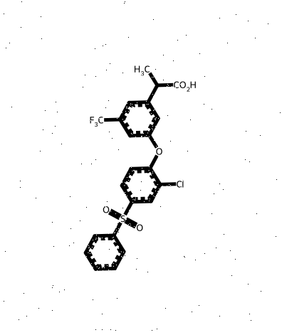 CC(C(=O)O)c1cc(Oc2ccc(S(=O)(=O)c3ccccc3)cc2Cl)cc(C(F)(F)F)c1